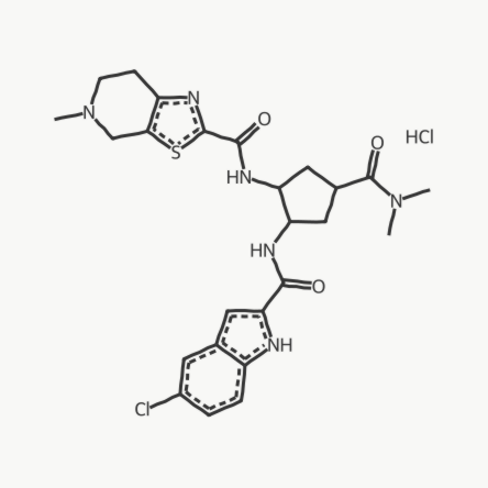 CN1CCc2nc(C(=O)NC3CC(C(=O)N(C)C)CC3NC(=O)c3cc4cc(Cl)ccc4[nH]3)sc2C1.Cl